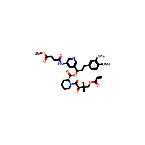 C=CC(=O)OCC(C)(C)C(=O)C(=O)N1CCCC[C@H]1C(=O)OC(CCc1ccc(OC)c(OC)c1)c1cncc(NC(=O)CCC(=O)OC(C)(C)C)c1